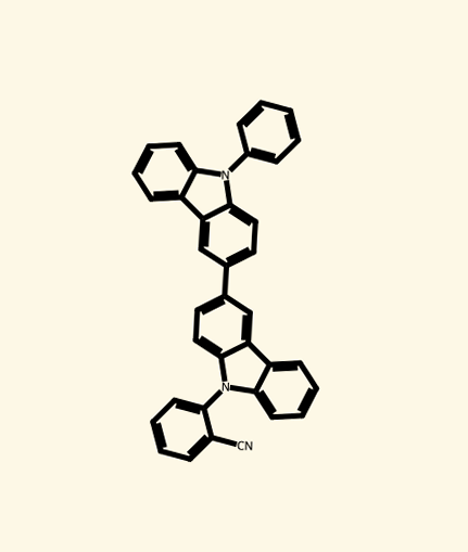 N#Cc1ccccc1-n1c2ccccc2c2cc(-c3ccc4c(c3)c3ccccc3n4-c3ccccc3)ccc21